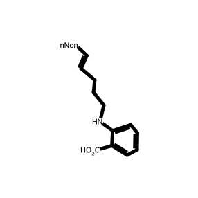 CCCCCCCCCC=CCCCNc1ccccc1C(=O)O